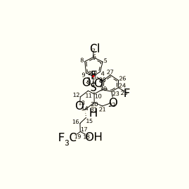 O=S(=O)(c1ccc(Cl)cc1)[C@@]12CCO[C@@H](CCC(O)C(F)(F)F)[C@@H]1COc1c(F)ccc(F)c12